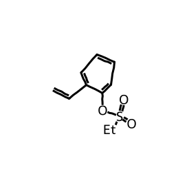 C=Cc1ccccc1OS(=O)(=O)CC